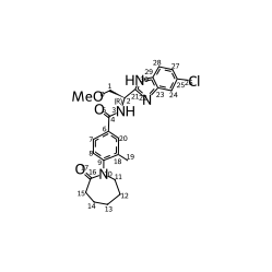 COC[C@H](NC(=O)c1ccc(N2CCCCCC2=O)c(C)c1)c1nc2cc(Cl)ccc2[nH]1